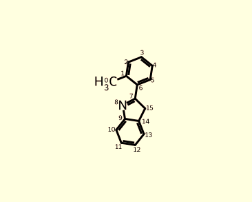 Cc1ccccc1C1=Nc2ccccc2C1